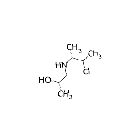 CC(O)CN[C@H](C)C(C)Cl